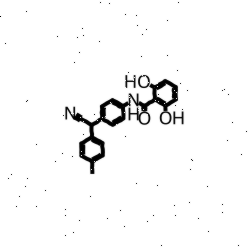 Cc1ccc(C(C#N)c2ccc(NC(=O)c3c(O)cccc3O)cc2)cc1